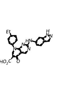 CCc1ccc(-n2cc(C(=O)O)c(=O)c3cnc(Nc4ccc5cn[nH]c5c4)nc32)cc1